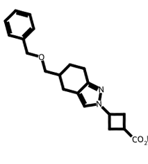 O=C(O)C1CC(n2cc3c(n2)CCC(COCc2ccccc2)C3)C1